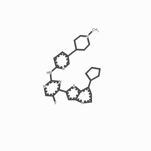 CN1CCC(c2ccc(Nc3ncc(F)c(-c4cc5nccc(C6CCCC6)c5s4)n3)nc2)CC1